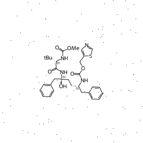 COC(=O)N[C@H](C(=O)N[C@](O)(CC[C@@H](Cc1ccccc1)NC(=O)OCc1cncs1)Cc1ccccc1)C(C)(C)C